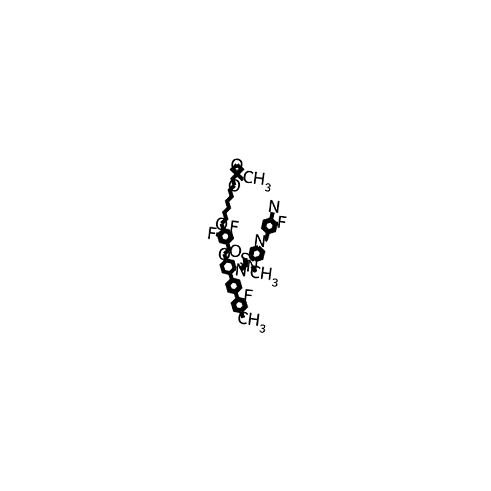 CCC1(COCCCCCCOc2c(F)cc(C(=O)OC3CCC(c4ccc(-c5ccc(C)cc5F)cc4)C(/N=c4\sc5cc(/N=C/c6ccc(C#N)c(F)c6)ccc5n4C)C3)cc2F)COC1